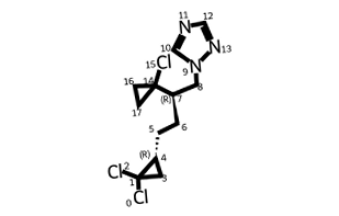 ClC1(Cl)C[C@H]1CC[C@H](Cn1cncn1)C1(Cl)CC1